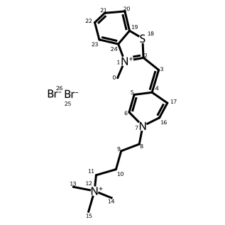 C[n+]1c(C=C2C=CN(CCCC[N+](C)(C)C)C=C2)sc2ccccc21.[Br-].[Br-]